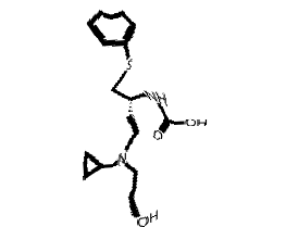 O=C(O)N[C@H](CCN(CCO)C1CC1)CSc1ccccc1